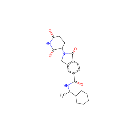 O=C1CCC(N2Cc3cc(C(=O)NC(C4CCCCC4)C(F)(F)F)ccc3C2=O)C(=O)N1